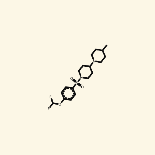 CC1CCN(C2CCN(S(=O)(=O)c3ccc(OC(F)F)cc3)CC2)CC1